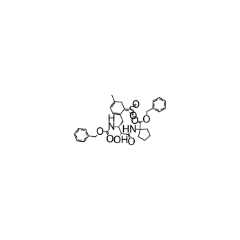 CC1=CC=C(C[C@H](NC(=O)OCc2ccccc2)[C@@H](O)C(=O)NC2(C(=O)OCc3ccccc3)CCCC2)C(=S(=O)=O)C1